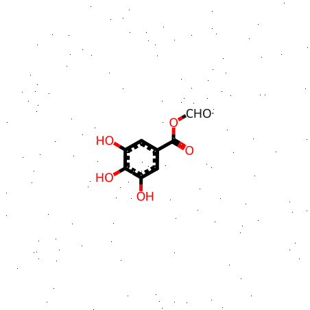 O=[C]OC(=O)c1cc(O)c(O)c(O)c1